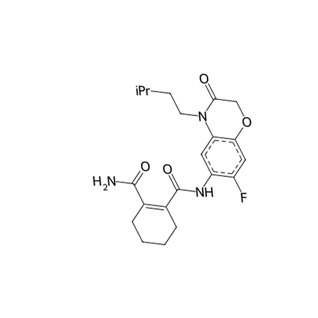 CC(C)CCN1C(=O)COc2cc(F)c(NC(=O)C3=C(C(N)=O)CCCC3)cc21